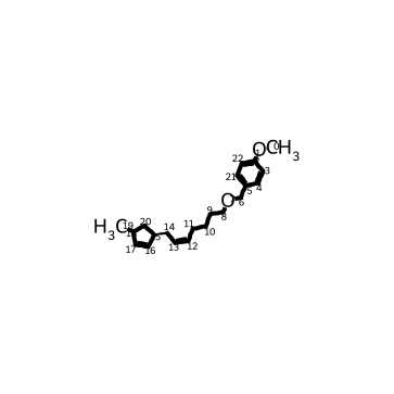 COc1ccc(COCCCC/C=C\C[C@H]2C=CC(C)C2)cc1